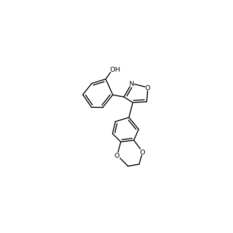 Oc1ccccc1-c1nocc1-c1ccc2c(c1)OCCO2